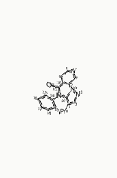 CC(C)c1cnn2c3cnccc3c(=O)n(-c3ccccc3)c12